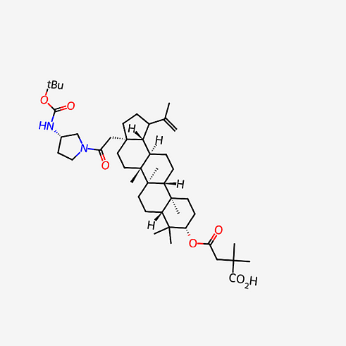 C=C(C)C1CC[C@]2(CC(=O)N3CC[C@H](NC(=O)OC(C)(C)C)C3)CC[C@]3(C)[C@H](CC[C@@H]4[C@@]5(C)CC[C@H](OC(=O)CC(C)(C)C(=O)O)C(C)(C)[C@@H]5CC[C@]43C)[C@@H]12